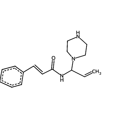 C=CC(NC(=O)C=Cc1ccccc1)N1CCNCC1